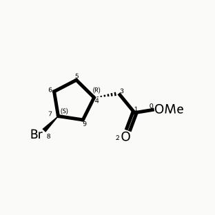 COC(=O)C[C@H]1CC[C@H](Br)C1